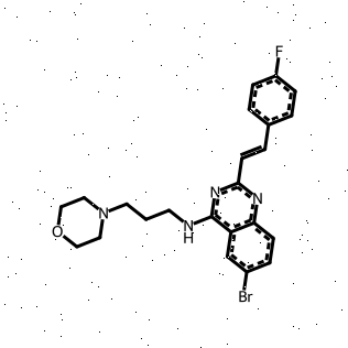 Fc1ccc(C=Cc2nc(NCCCN3CCOCC3)c3cc(Br)ccc3n2)cc1